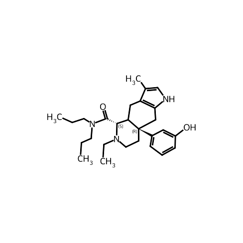 CCCN(CCC)C(=O)[C@@H]1C2Cc3c(C)c[nH]c3C[C@]2(c2cccc(O)c2)CCN1CC